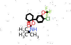 CC(C)(C)NC(=O)OC1(c2ccc(Cl)c(OC(F)(F)F)c2)CCCCC1=O